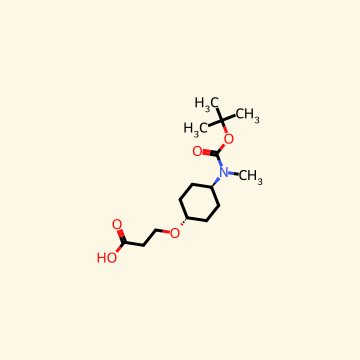 CN(C(=O)OC(C)(C)C)[C@H]1CC[C@H](OCCC(=O)O)CC1